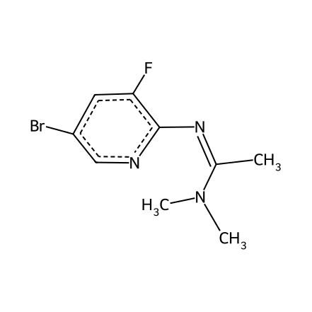 CC(=Nc1ncc(Br)cc1F)N(C)C